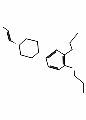 CC=C[C@H]1CC[C@H](c2ccc(OCCC)c(CCC)c2)CC1